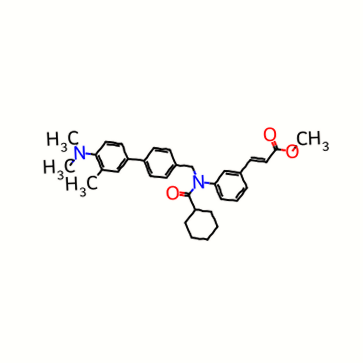 COC(=O)/C=C/c1cccc(N(Cc2ccc(-c3ccc(N(C)C)c(C)c3)cc2)C(=O)C2CCCCC2)c1